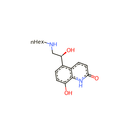 [CH2]CCCCCNC[C@@H](O)c1ccc(O)c2[nH]c(=O)ccc12